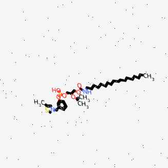 CCCCCCCCCCCCCCCCCCNC(=O)OCC(COP(O)Oc1cccc(C[n+]2csc(C)c2)c1)OC(C)C